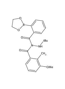 COc1cccc(C(=O)N(NC(C)(C)C)C(=O)c2ccccc2B2OCCO2)c1C